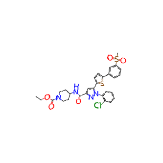 CCOC(=O)N1CCC(NC(=O)c2cc(-c3ccc(-c4cccc(S(C)(=O)=O)c4)s3)n(-c3ccccc3Cl)n2)CC1